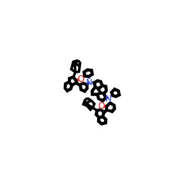 c1ccc(N(c2ccc3ccc4c(N(c5ccccc5)c5cccc6c5oc5c(C78CC9CC(CC(C9)C7)C8)cc7ccccc7c56)ccc5ccc2c3c54)c2cccc3c2oc2c(C45CC6CC(CC(C6)C4)C5)cc4ccccc4c23)cc1